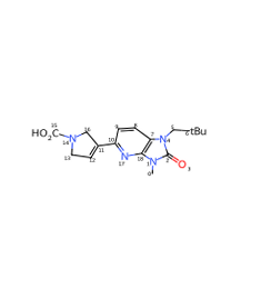 Cn1c(=O)n(CC(C)(C)C)c2ccc(C3=CCN(C(=O)O)C3)nc21